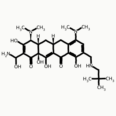 CN(C)c1cc(CNCC(C)(C)C)c(O)c2c1C[C@H]1C[C@H]3[C@H](N(C)C)C(O)=C(C(N)O)C(=O)[C@@]3(O)C(O)=C1C2=O